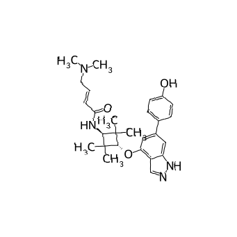 CN(C)C/C=C/C(=O)N[C@H]1C(C)(C)[C@H](Oc2cc(-c3ccc(O)cc3)cc3[nH]ncc23)C1(C)C